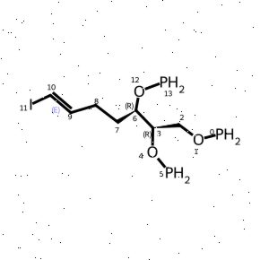 POC[C@@H](OP)[C@@H](CC/C=C/I)OP